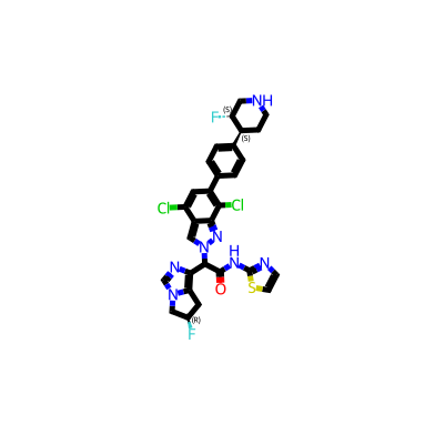 O=C(Nc1nccs1)C(c1ncn2c1C[C@@H](F)C2)n1cc2c(Cl)cc(-c3ccc([C@@H]4CCNC[C@H]4F)cc3)c(Cl)c2n1